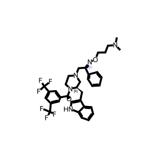 CN(C)CCCO/N=C(/CN1CCN(C(=O)c2cc(C(F)(F)F)cc(C(F)(F)F)c2)[C@H](Cc2c[nH]c3ccccc23)C1)c1ccccc1